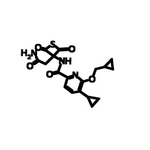 NC(=O)CC1(NC(=O)c2ccc(C3CC3)c(OCC3CC3)n2)C(=O)SC1=O